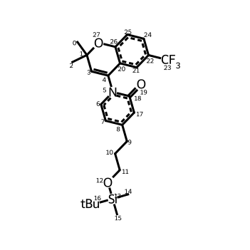 CC1(C)C=C(n2ccc(CCCO[Si](C)(C)C(C)(C)C)cc2=O)c2cc(C(F)(F)F)ccc2O1